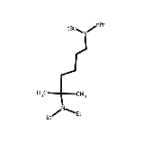 CCCN(CCCCC(C)(C)N(CC)CC)C(C)(C)C